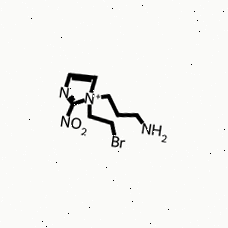 NCCC[N+]1(CCBr)C=CN=C1[N+](=O)[O-]